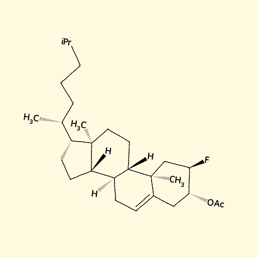 CC(=O)O[C@@H]1CC2=CC[C@H]3[C@@H]4CC[C@H]([C@H](C)CCCC(C)C)[C@@]4(C)CC[C@@H]3[C@@]2(C)C[C@H]1F